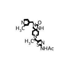 CC(=O)Nc1ncc([C@H](C)N2CCC3(CC2)CN(Cc2ccnc(C)c2)C(=O)N3)s1